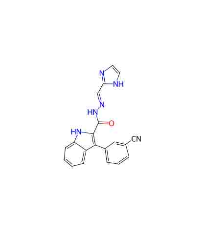 N#Cc1cccc(-c2c(C(=O)NN=Cc3ncc[nH]3)[nH]c3ccccc23)c1